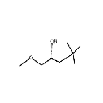 COC[C@H](O)CC(C)(C)C